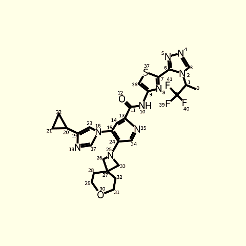 CC(n1cnnc1-c1nc(NC(=O)c2cc(-n3cnc(C4CC4)c3)c(N3CC4(CCOCC4)C3)cn2)cs1)C(F)(F)F